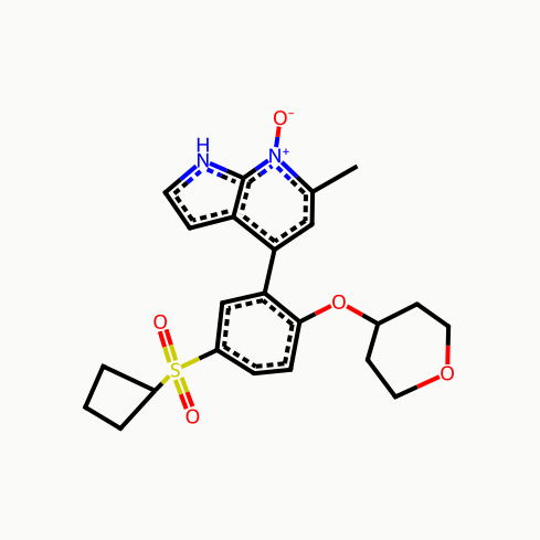 Cc1cc(-c2cc(S(=O)(=O)C3CCC3)ccc2OC2CCOCC2)c2cc[nH]c2[n+]1[O-]